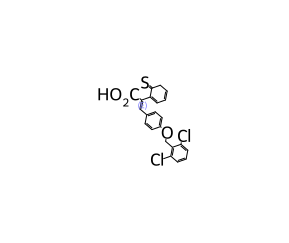 O=C(O)/C(=C/c1ccc(OCc2c(Cl)cccc2Cl)cc1)C1=CC=CCC1=S